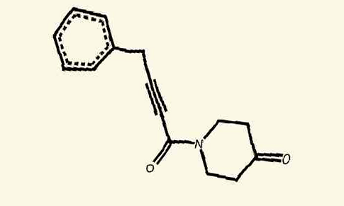 O=C1CCN(C(=O)C#CCc2ccccc2)CC1